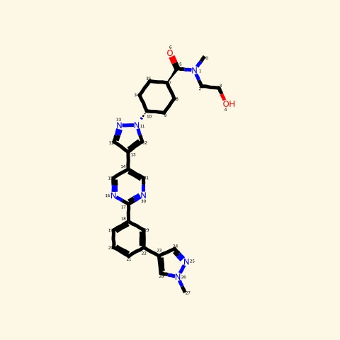 CN(CCO)C(=O)[C@H]1CC[C@H](n2cc(-c3cnc(-c4cccc(-c5cnn(C)c5)c4)nc3)cn2)CC1